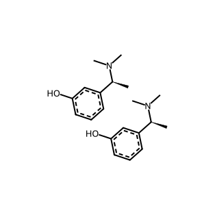 C[C@@H](c1cccc(O)c1)N(C)C.C[C@@H](c1cccc(O)c1)N(C)C